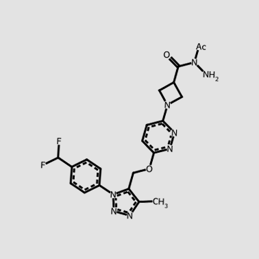 CC(=O)N(N)C(=O)C1CN(c2ccc(OCc3c(C)nnn3-c3ccc(C(F)F)cc3)nn2)C1